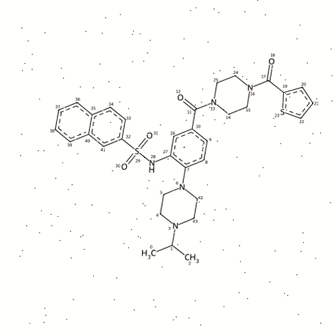 CC(C)N1CCN(c2ccc(C(=O)N3CCN(C(=O)c4cccs4)CC3)cc2NS(=O)(=O)c2ccc3ccccc3c2)CC1